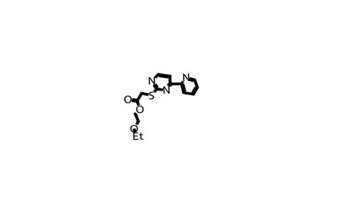 CCOCCOC(=O)CSc1nccc(-c2ccccn2)n1